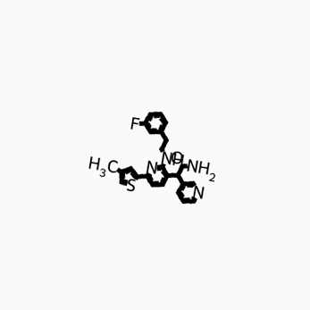 Cc1csc(-c2ccc(C(C(N)=O)c3cccnc3)c(NCCc3cccc(F)c3)n2)c1